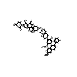 COc1cc(N2CCC3(CC[C@@H](CN4CCC5(CC4)COc4c5cc(Cl)c5c4CN([C@H]4CCC(=O)NC4=O)C5=O)CO3)CC2)c(F)cc1[C@@H]1c2ccc(O)cc2CC[C@@H]1c1ccccc1